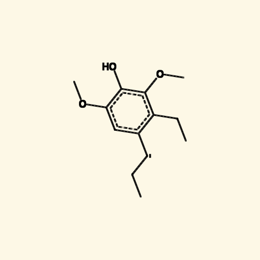 CC[C]c1cc(OC)c(O)c(OC)c1CC